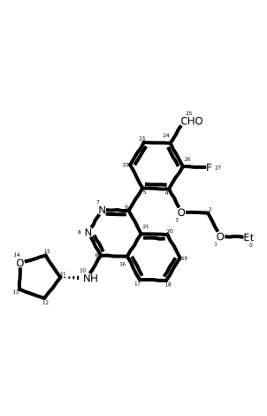 CCOCOc1c(-c2nnc(N[C@@H]3CCOC3)c3ccccc23)ccc(C=O)c1F